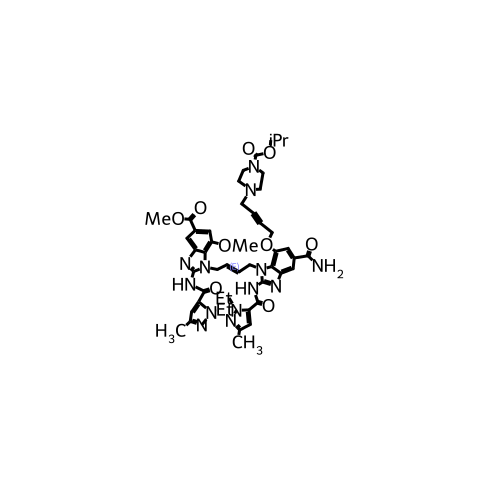 CCn1nc(C)cc1C(=O)Nc1nc2cc(C(=O)OC)cc(OC)c2n1C/C=C/Cn1c(NC(=O)c2cc(C)nn2CC)nc2cc(C(N)=O)cc(OCC#CCN3CCN(C(=O)OC(C)C)CC3)c21